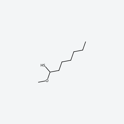 CCCCCCC(S)OC